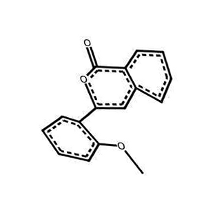 COc1ccccc1-c1cc2ccccc2c(=O)o1